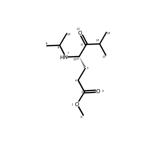 COC(=O)CC[C@H](NC(C)C)C(=O)C(C)C